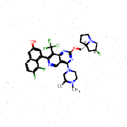 CCC1CN(c2nc(OC[C@]34CCCN3C[C@@H](F)C4)nc3c(C(F)(F)Cl)c(-c4cc(O)cc5ccc(F)c(F)c45)ncc23)CCN1C